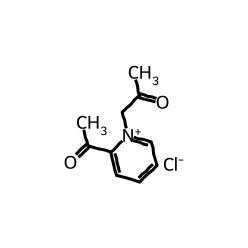 CC(=O)C[n+]1ccccc1C(C)=O.[Cl-]